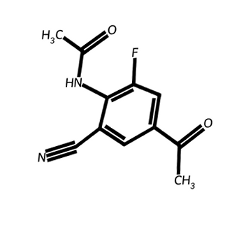 CC(=O)Nc1c(F)cc(C(C)=O)cc1C#N